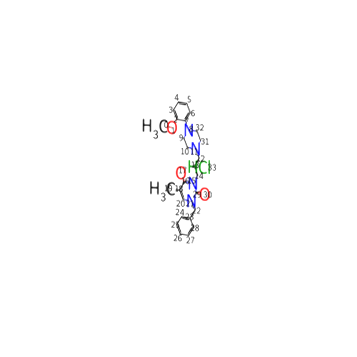 COc1ccccc1N1CCN(CCCn2c(=O)c(C)cn(Cc3ccccc3)c2=O)CC1.Cl